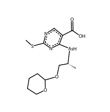 CSc1ncc(C(=O)O)c([AsH][C@H](C)COC2CCCCO2)n1